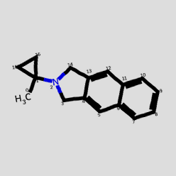 CC1(N2Cc3cc4ccccc4cc3C2)CC1